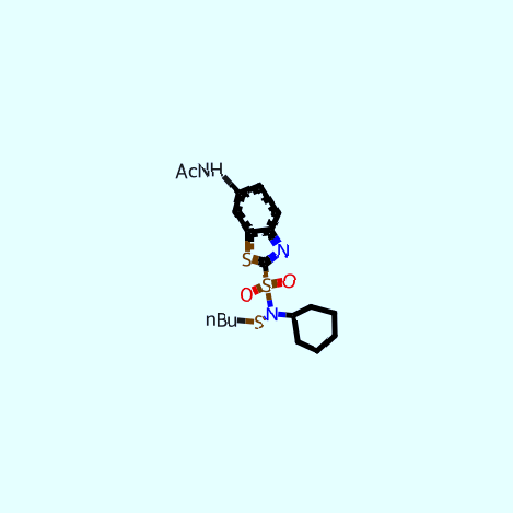 CCCCSN(C1CCCCC1)S(=O)(=O)c1nc2ccc(NC(C)=O)cc2s1